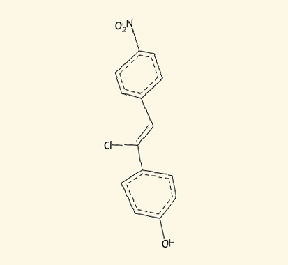 O=[N+]([O-])c1ccc(C=C(Cl)c2ccc(O)cc2)cc1